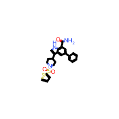 NC(=O)c1cc(-c2ccccc2)cc2c(C3CCN(S(=O)(=O)c4cccs4)CC3)c[nH]c12